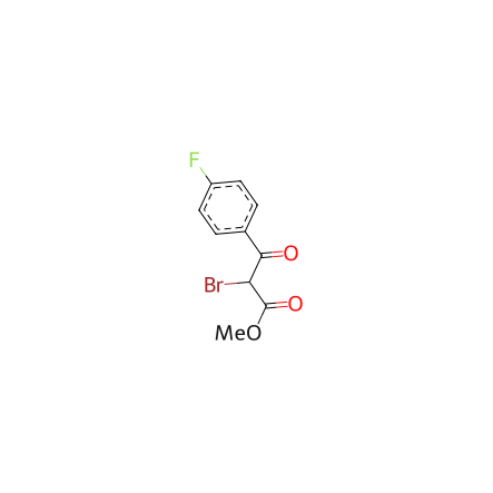 COC(=O)C(Br)C(=O)c1ccc(F)cc1